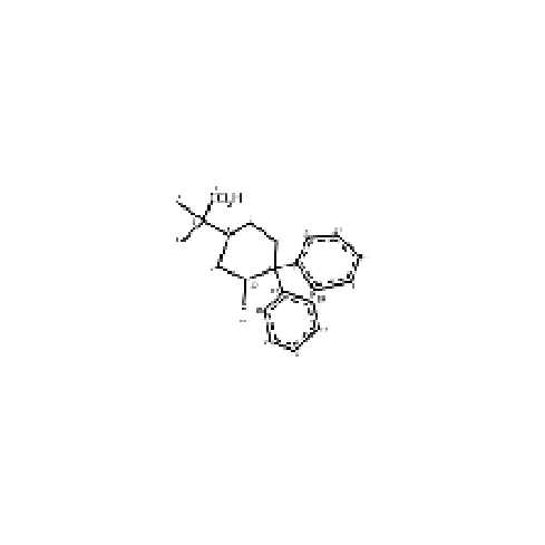 CC(C)(C(=O)O)C1CCC(c2ccccc2)(c2ccccc2)C(F)C1